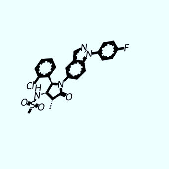 C[C@H]1C(=O)N(c2ccc3c(cnn3-c3ccc(F)cc3)c2)[C@H](c2ccccc2Cl)[C@H]1NS(C)(=O)=O